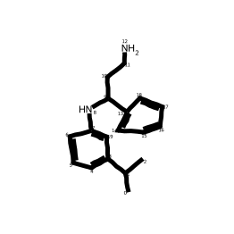 CC(C)c1cccc(NC(CCN)c2ccccc2)c1